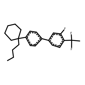 CCCCC1(c2ccc(-c3ccc(C(C)(F)F)c(F)c3)cc2)CCCCC1